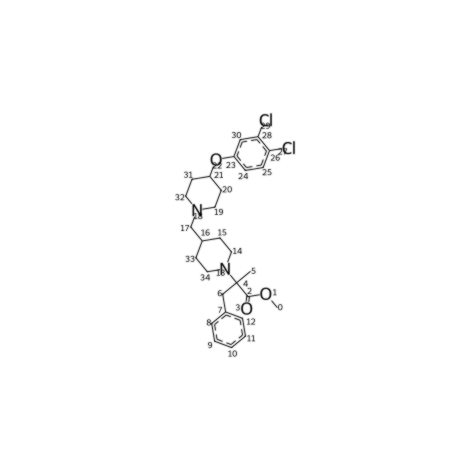 COC(=O)C(C)(Cc1ccccc1)N1CCC(CN2CCC(Oc3ccc(Cl)c(Cl)c3)CC2)CC1